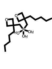 CCCCCC1(CP(O)(O)(O)CC2(CCCCC)COC2)COC1